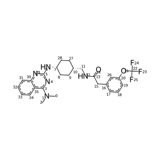 CN(C)c1nc(N[C@H]2CC[C@@H](CNC(=O)Cc3cccc(OC(F)(F)F)c3)CC2)nc2ccccc12